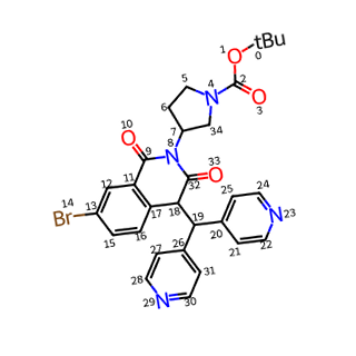 CC(C)(C)OC(=O)N1CCC(N2C(=O)c3cc(Br)ccc3C(C(c3ccncc3)c3ccncc3)C2=O)C1